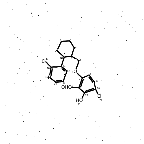 O=Cc1c(OCC2CCCCC2c2cccnc2Cl)ccc(Cl)c1O